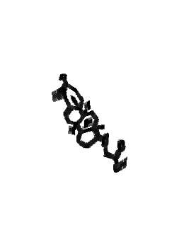 C[C@]12CCC(=O)NC1=CC[C@@H]1[C@H]2CC[C@]2(C)C(OCC(=O)O)CC[C@@H]12